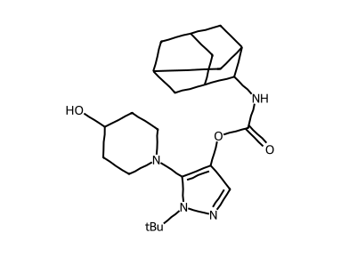 CC(C)(C)n1ncc(OC(=O)NC2C3CC4CC(C3)CC2C4)c1N1CCC(O)CC1